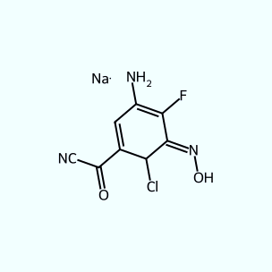 N#CC(=O)C1=CC(N)=C(F)C(=NO)C1Cl.[Na]